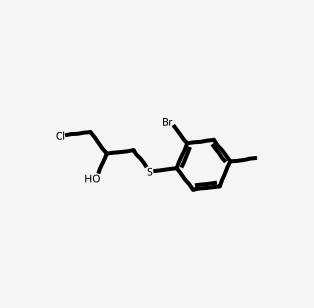 Cc1ccc(SCC(O)CCl)c(Br)c1